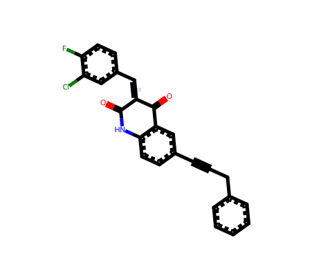 O=C1Nc2ccc(C#CCc3ccccc3)cc2C(=O)/C1=C/c1ccc(F)c(Cl)c1